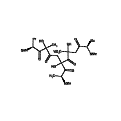 CCC(C)[C@@H](NC)C(=O)CC(O)(C(=O)O)C(=O)C(O)(CC(=O)C(C)(O)C(=O)[C@@H](NC)C(C)C)C(=O)[C@H](C)NC